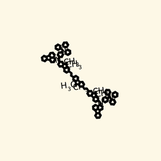 CC1(C)c2cc(/C=C/c3ccc4c(c3)C(C)(C)c3cc(N(c5ccc([Si](c6ccccc6)(c6ccccc6)c6ccccc6)cc5)c5ccc6c7c(cccc57)-c5ccccc5-6)ccc3-4)ccc2-c2ccc(/C=C/c3ccc4c(c3)C(C)(C)c3cc(N(c5ccc([Si](c6ccccc6)(c6ccccc6)c6ccccc6)cc5)c5ccc6c7c(cccc57)-c5ccccc5-6)ccc3-4)cc21